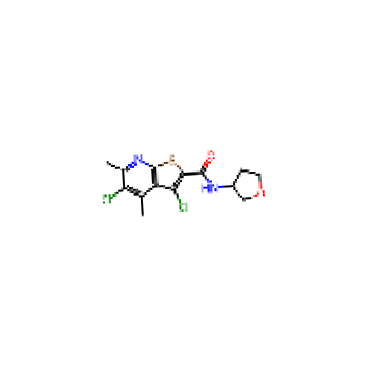 Cc1nc2sc(C(=O)NC3CCOC3)c(Cl)c2c(C)c1Cl